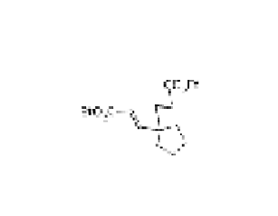 CCOC(=O)/C=C/C1(/C=C/C(=O)OCC)CCCC1